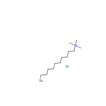 C[N+](C)(C)CCCCCCCCCCS.[Br-]